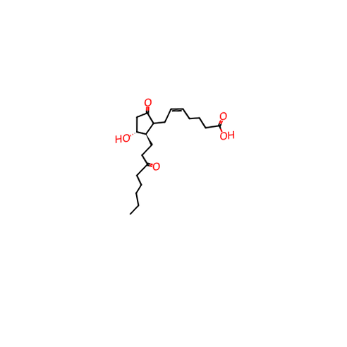 CCCCCC(=O)CC[C@@H]1C(C/C=C\CCCC(=O)O)C(=O)C[C@H]1O